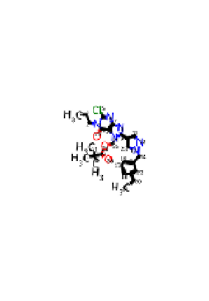 CCCn1c(Cl)nc2nc(-c3cnn(Cc4cccc(CC)c4)c3)n(COC(=O)C(C)(C)C)c2c1=O